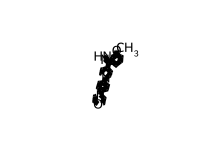 COc1cccc2c(C3CCN(c4ccc(N5CCOCC5)cc4)CC3)n[nH]c12